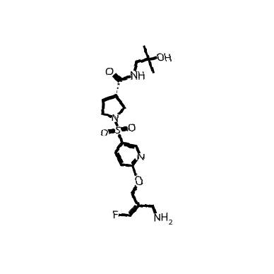 CC(C)(O)CNC(=O)[C@H]1CCN(S(=O)(=O)c2ccc(OC/C(=C\F)CN)nc2)C1